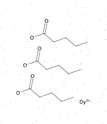 CCCCC(=O)[O-].CCCCC(=O)[O-].CCCCC(=O)[O-].[Dy+3]